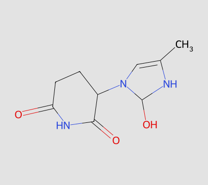 CC1=CN(C2CCC(=O)NC2=O)C(O)N1